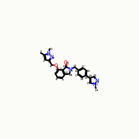 Cc1cc(COc2cccc3c2C(=O)N(Cc2ccc(-c4cnn(C)c4)cc2)C3)nn1C